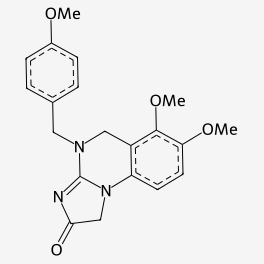 COc1ccc(CN2Cc3c(ccc(OC)c3OC)N3CC(=O)N=C23)cc1